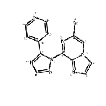 Brc1cn2ccnc2c(-n2ccnc2-c2ccncc2)n1